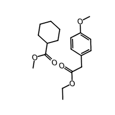 CCOC(=O)Cc1ccc(OC)cc1.COC(=O)C1CCCCC1